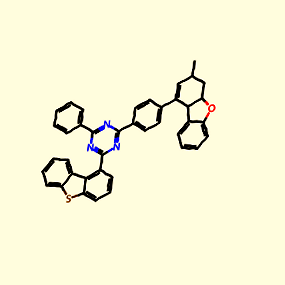 CC1C=C(c2ccc(-c3nc(-c4ccccc4)nc(-c4cccc5sc6ccccc6c45)n3)cc2)C2c3ccccc3OC2C1